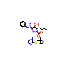 CCCC[C@H](NC(=O)OCC1(CSC2=NCCN2C)CCC1)C(O)C(=O)N[C@H](C)c1ccccc1